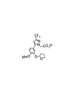 COc1ccc(-c2cc(C(F)(F)F)nn2CC(=O)O)cc1OC1CCCO1